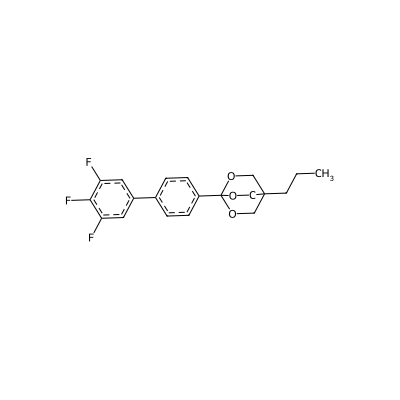 CCCC12COC(c3ccc(-c4cc(F)c(F)c(F)c4)cc3)(OC1)OC2